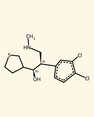 CNC[C@@H](c1ccc(Cl)c(Cl)c1)[C@@H](O)C1CCSC1